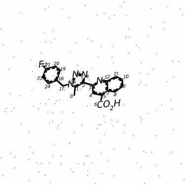 Cc1c(-c2cc(C(=O)O)c3ccccc3n2)nnn1Cc1ccc(F)cc1